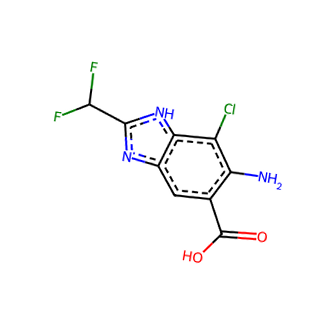 Nc1c(C(=O)O)cc2nc(C(F)F)[nH]c2c1Cl